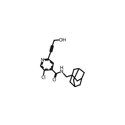 O=C(NCC12CC3CC(CC(C3)C1)C2)c1cc(C#CCO)ncc1Cl